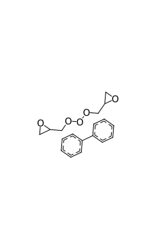 C(OOOCC1CO1)C1CO1.c1ccc(-c2ccccc2)cc1